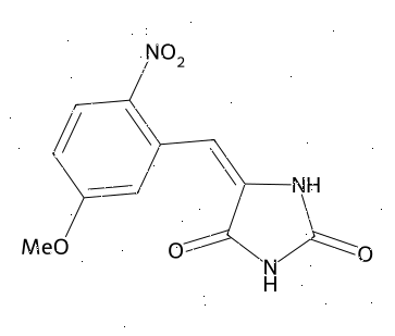 COc1ccc([N+](=O)[O-])c(C=C2NC(=O)NC2=O)c1